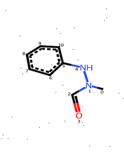 CN(C=O)Nc1ccccc1